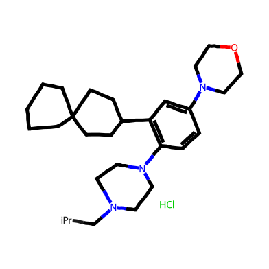 CC(C)CN1CCN(c2ccc(N3CCOCC3)cc2C2CCC3(CCCCC3)CC2)CC1.Cl